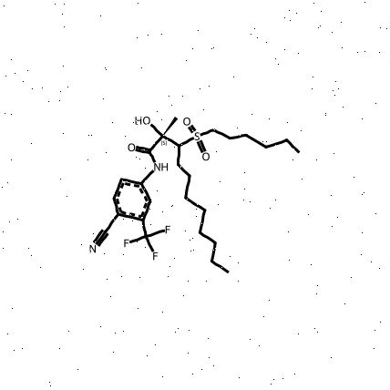 CCCCCCCCC([C@@](C)(O)C(=O)Nc1ccc(C#N)c(C(F)(F)F)c1)S(=O)(=O)CCCCCC